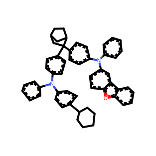 c1ccc(N(c2ccc(C3CCCCC3)cc2)c2ccc(C3(c4ccc(N(c5ccccc5)c5ccc6oc7ccccc7c6c5)cc4)CC4CCC3C4)cc2)cc1